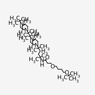 CC(C)(CCC(C)(C)N1C[C@@H]2C[C@H]1CN2C(C)(C)C(C)(C)N1C[C@H]2C[C@@H]1CN2C(C)(C)C)NC(=O)CCOCCCCOC(C)(C)C